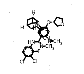 C=CC(=O)N1C[C@H]2C[C@@H](C1)[C@H]2Oc1cc(/C(=N\C)Nc2ccc(Cl)c(Cl)c2F)c(N=C)cc1O[C@H]1CCOC1